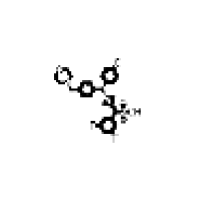 CS(=O)(=O)C(=C1CN([C@H](c2ccc(Cl)cc2)c2ccc(CN3CCOCC3)cc2)C1)c1cc(F)cc(F)c1